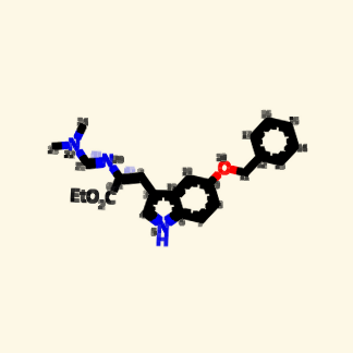 CCOC(=O)C(=C\c1c[nH]c2ccc(OCc3ccccc3)cc12)/N=C/N(C)C